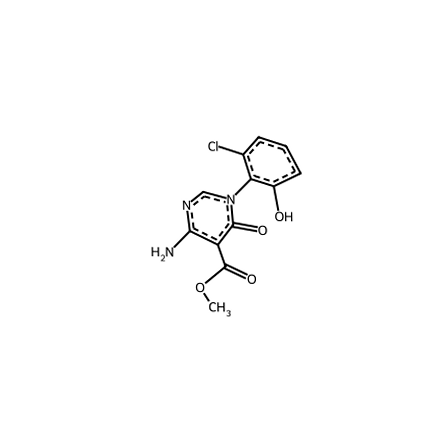 COC(=O)c1c(N)ncn(-c2c(O)cccc2Cl)c1=O